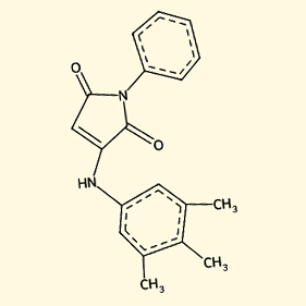 Cc1cc(NC2=CC(=O)N(c3ccccc3)C2=O)cc(C)c1C